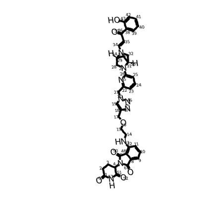 O=C1CCC(N2C(=O)c3cccc(NCCOCc4cn(Cc5cccc(N6C[C@H]7C[C@@H]6CN7/C=C/C(=O)c6ccccc6O)n5)nn4)c3C2=O)C(=O)N1